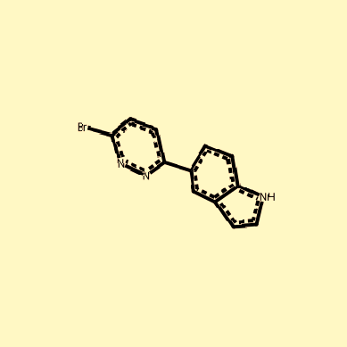 Brc1ccc(-c2ccc3[nH]ccc3c2)nn1